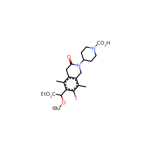 CCOC(=O)C(OC(C)(C)C)c1c(C)c2c(c(C)c1I)CN(C1CCN(C(=O)O)CC1)C(=O)C2